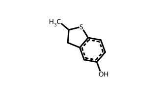 CC1Cc2cc(O)ccc2S1